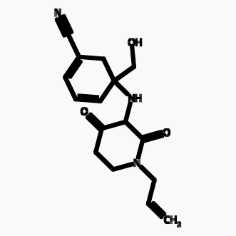 C=CCN1CCC(=O)C(NC2(CO)C=CC=C(C#N)C2)C1=O